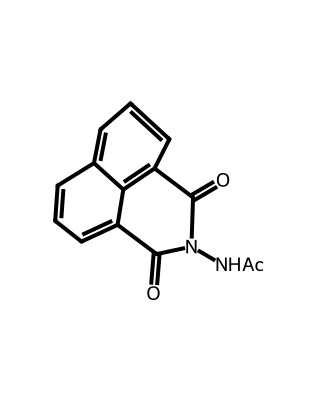 CC(=O)NN1C(=O)c2cccc3cccc(c23)C1=O